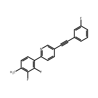 Cc1ccc(-c2ccc(C#Cc3cccc(F)c3)cn2)c(F)c1F